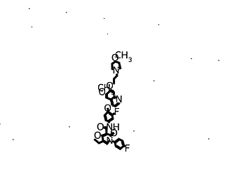 COc1cc2c(Oc3ccc(NC(=O)c4c5c(cn(-c6ccc(F)cc6)c4=O)CCO5)cc3F)ccnc2cc1OCCCN1CCC(OC)CC1